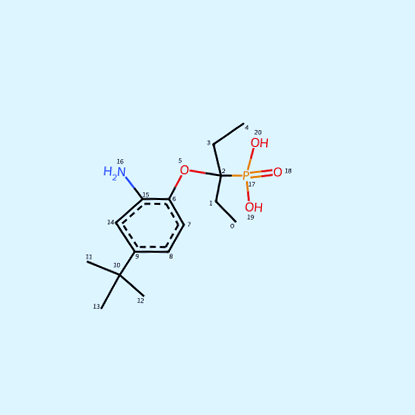 CCC(CC)(Oc1ccc(C(C)(C)C)cc1N)P(=O)(O)O